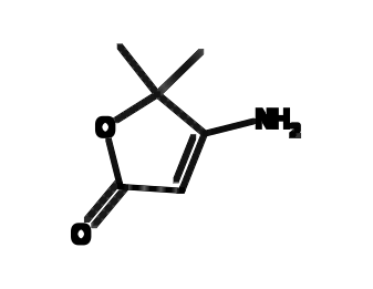 CC1(C)OC(=O)C=C1N